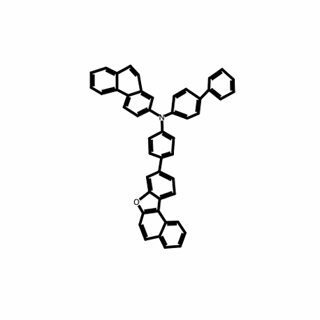 c1ccc(-c2ccc(N(c3ccc(-c4ccc5c(c4)oc4ccc6ccccc6c45)cc3)c3ccc4c(ccc5ccccc54)c3)cc2)cc1